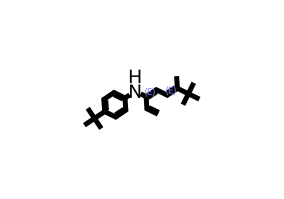 C=C/C(=C\C=C(/C)C(C)(C)C)Nc1ccc(C(C)(C)C)cc1